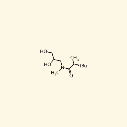 C[C@H](C(=O)N(C)CC(O)CO)C(C)(C)C